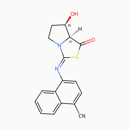 N#Cc1ccc(N=C2SC(=O)[C@@H]3[C@H](O)CCN23)c2ccccc12